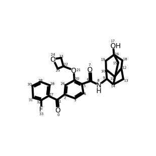 O=C(c1ccc(C(=O)NC2C3CC4CC2CC(O)(C4)C3)c(OC2COC2)c1)c1ccccc1F